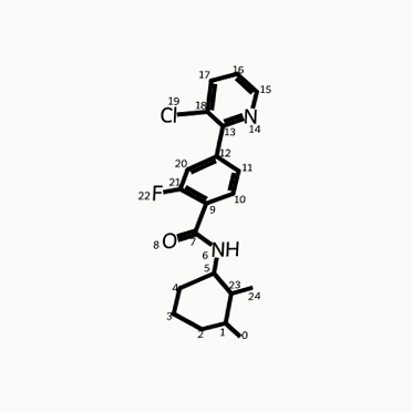 CC1CCCC(NC(=O)c2ccc(-c3ncccc3Cl)cc2F)C1C